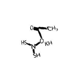 CC(=O)ON(S)S.[KH]